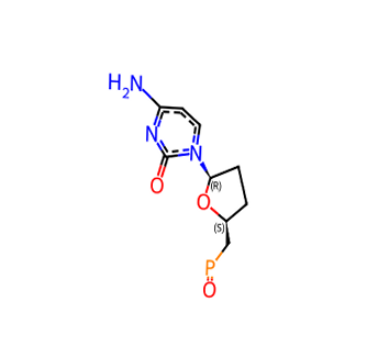 Nc1ccn([C@H]2CC[C@@H](CP=O)O2)c(=O)n1